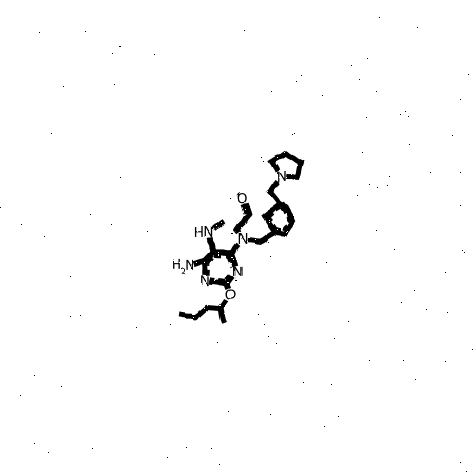 CCCC(C)Oc1nc(N)c(NC)c(N(CC=O)Cc2cccc(CN3CCCC3)c2)n1